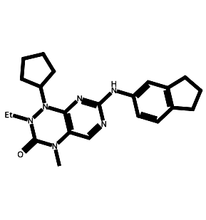 CCN1C(=O)N(C)c2cnc(Nc3ccc4c(c3)CCC4)nc2N1C1CCCC1